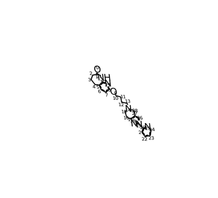 O=C1CCCc2ccc(OCCCCN3CCc4nn(-c5ccccn5)cc4C3)nc2N1